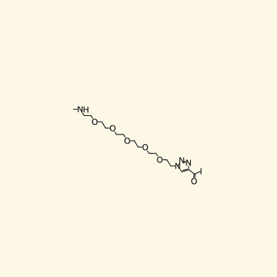 CNCCOCCOCCOCCOCCOCCn1cc(C(=O)I)nn1